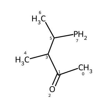 CC(=O)C(C)C(C)P